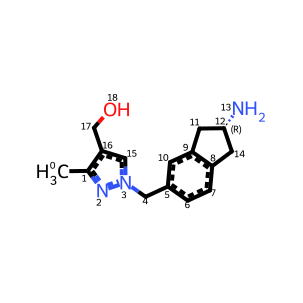 Cc1nn(Cc2ccc3c(c2)C[C@H](N)C3)cc1CO